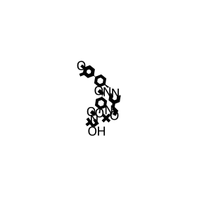 COc1ccc([C@H]2CC[C@H](CN(c3cc(-c4coc(C(C)(C)C)n4)ccn3)C(=O)[C@H]3CC[C@H](OC(=O)N4CC(O)C4(C)C)CC3)CC2)cc1C